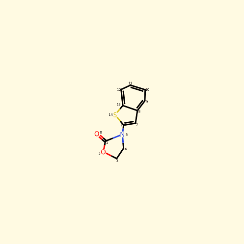 O=C1OCCN1c1cc2ccccc2s1